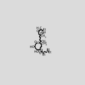 CCC(O)C(C)C1OC1CC(C)(O)/C=C/C=C(\C)C1OC(=O)CC(O)CCC(C)(O)C(OC(=O)N(CC)CCN(CC)CC)/C=C/C1C